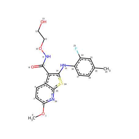 COc1ccc2c(C(=O)NOCCO)c(Nc3ccc(C)cc3F)sc2n1